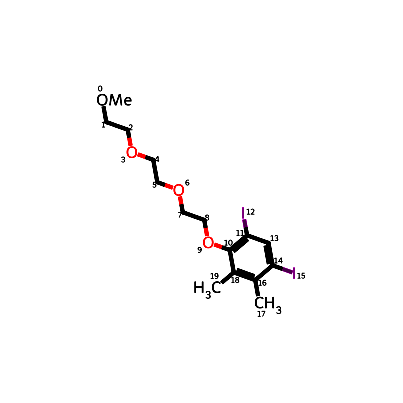 COCCOCCOCCOc1c(I)cc(I)c(C)c1C